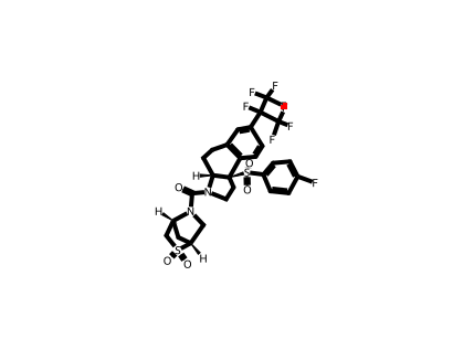 O=C(N1C[C@H]2C[C@@H]1CS2(=O)=O)N1CC[C@@]2(S(=O)(=O)c3ccc(F)cc3)c3ccc(C(F)(C(F)(F)F)C(F)(F)F)cc3CC[C@@H]12